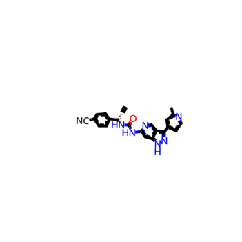 C#C[C@H](NC(=O)Nc1cc2[nH]nc(-c3ccnc(C)c3)c2cn1)c1ccc(C#N)cc1